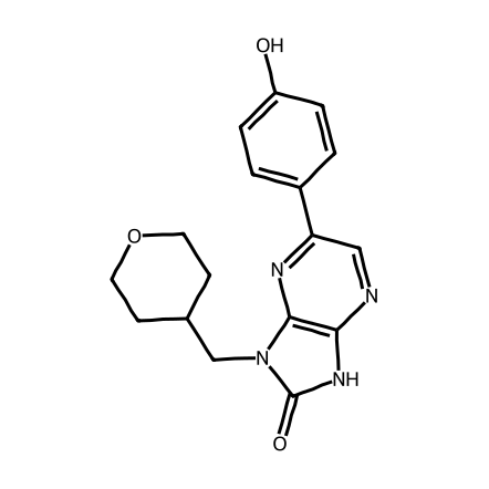 O=c1[nH]c2ncc(-c3ccc(O)cc3)nc2n1CC1CCOCC1